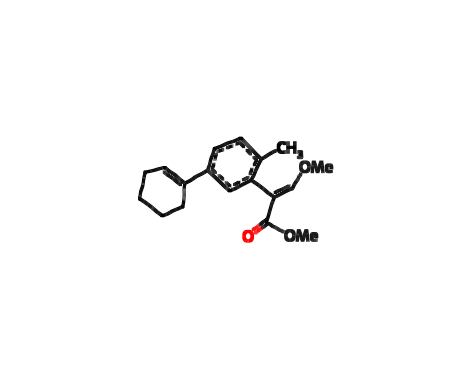 CO/C=C(/C(=O)OC)c1cc(C2=CCCCC2)ccc1C